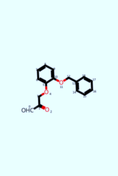 O=CC(=O)COc1ccccc1OCc1ccccc1